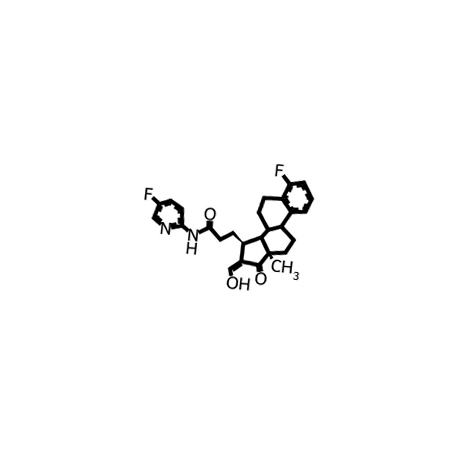 C[C@]12CCC3c4cccc(F)c4CCC3C1[C@H](CCC(=O)Nc1ccc(F)cn1)/C(=C/O)C2=O